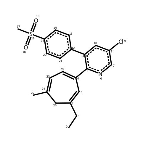 CCC1=CC(c2ncc(Cl)cc2-c2ccc(S(C)(=O)=O)cc2)=CC=C(C)C1